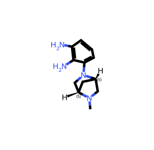 CN1C[C@@H]2C[C@H]1CN2c1cccc(N)c1N